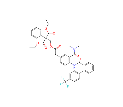 CCOC(=O)C(COC(=O)Cc1ccc(NC(=O)c2ccccc2-c2ccc(C(F)(F)F)cc2)c(C(=O)N(C)C)c1)(C(=O)OCC)c1ccccc1